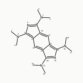 CN(C)C1=NC(N(C)C)=c2cc3c(cc21)=C(N(C)C)N=C3N(C)C